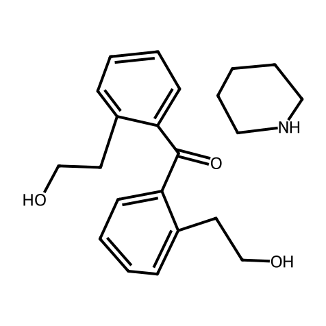 C1CCNCC1.O=C(c1ccccc1CCO)c1ccccc1CCO